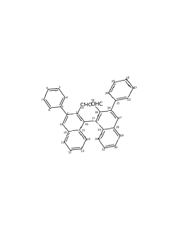 O=Cc1c(-c2ccccc2)cc2ccccc2c1-c1c(C=O)c(-c2ccccc2)cc2ccccc12